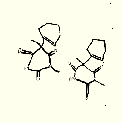 CN1C(=O)NC(=O)C(C)(C2=CCCCC2)C1=O.CN1C(=O)NC(=O)C(C)(C2=CCCCC2)C1=O